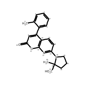 Cc1ccccc1-c1cc(=O)oc2nc(N3CCCC3(C)C(=O)O)ccc12